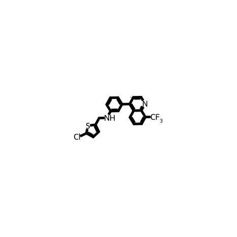 FC(F)(F)c1cccc2c(-c3cccc(NCc4ccc(Cl)s4)c3)[c]cnc12